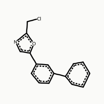 ClCc1ncc(-c2cccc(-c3ccccc3)c2)o1